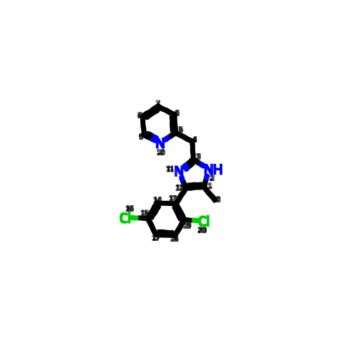 Cc1[nH]c(Cc2ccccn2)nc1-c1cc(Cl)ccc1Cl